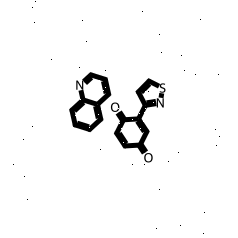 O=C1C=CC(=O)C(c2ccsn2)=C1.c1ccc2ncccc2c1